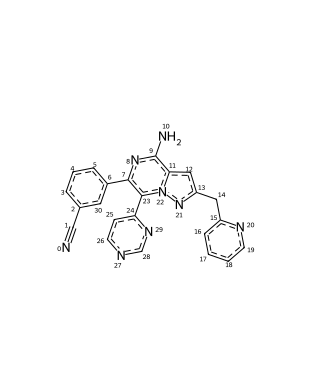 N#Cc1cccc(-c2nc(N)c3cc(Cc4ccccn4)nn3c2-c2ccncn2)c1